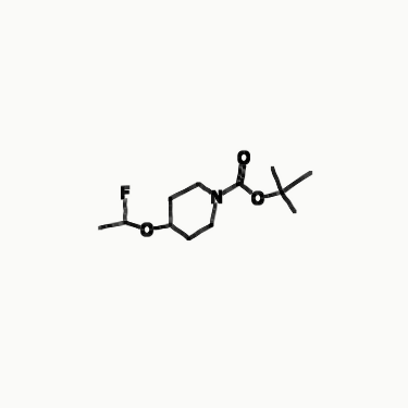 CC(F)OC1CCN(C(=O)OC(C)(C)C)CC1